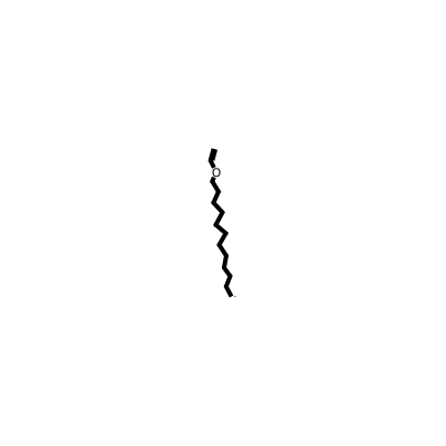 [CH2]CCCCCCCCCCCOC=C